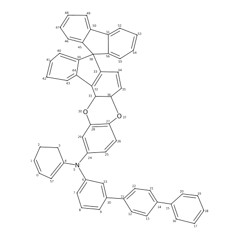 C1=CCCC(N(c2cccc(-c3ccc(-c4ccccc4)cc3)c2)c2ccc3c(c2)OC2C4=C(C=CC2O3)C2(c3ccccc34)c3ccccc3-c3ccccc32)=C1